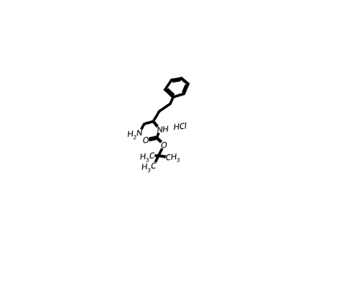 CC(C)(C)OC(=O)NC(CN)CCc1ccccc1.Cl